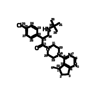 C[C@@H]1CCc2ncnc(N3CCN(C(=O)C(CNC(C)(C)C)c4ccc(Cl)cc4)CC3)c21